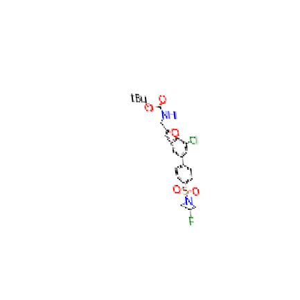 CC(C)(C)OC(=O)NCc1cc2cc(-c3ccc(S(=O)(=O)N4CC(F)C4)cc3)cc(Cl)c2o1